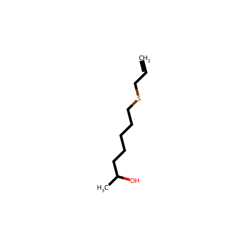 C=CCSCCCCCC(C)O